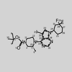 C[C@H]1CN(C(=O)OC(C)(C)C)CCN1c1ncnc2c1c(I)cn2C1CCCC(F)(F)C1